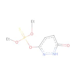 CCOP(=S)(OCC)Oc1ccc(=O)[nH]n1